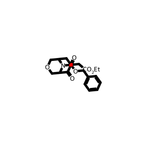 CCOC(=O)CC1CC2COCC(C1=O)N2C(=O)OCc1ccccc1